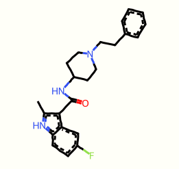 Cc1[nH]c2ccc(F)cc2c1C(=O)NC1CCN(CCc2ccccc2)CC1